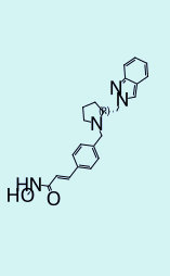 O=C(C=Cc1ccc(CN2CCC[C@@H]2Cn2cc3ccccc3n2)cc1)NO